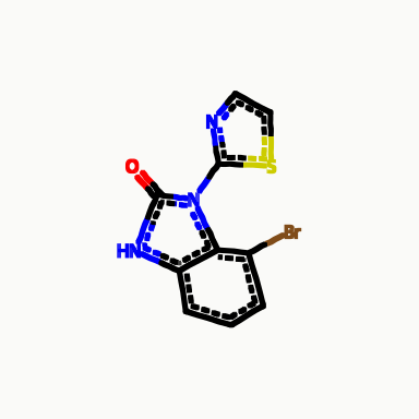 O=c1[nH]c2cccc(Br)c2n1-c1nccs1